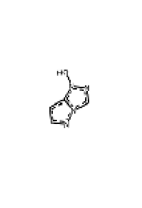 On1ncn2nccc12